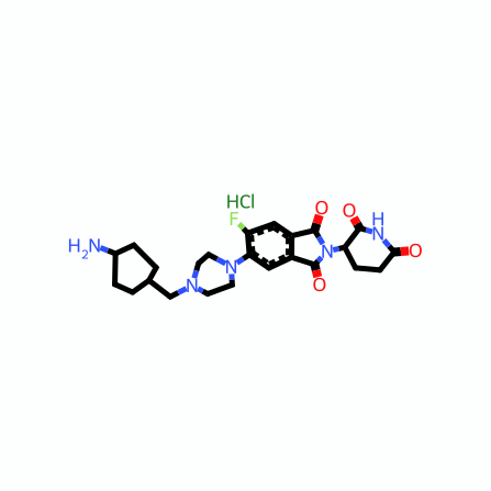 Cl.NC1CCC(CN2CCN(c3cc4c(cc3F)C(=O)N(C3CCC(=O)NC3=O)C4=O)CC2)CC1